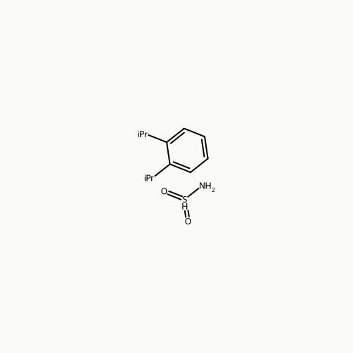 CC(C)c1ccccc1C(C)C.N[SH](=O)=O